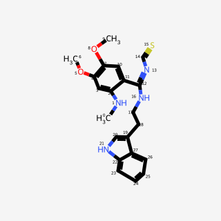 CNc1cc(OC)c(OC)cc1/C(=N\C=S)NCCc1c[nH]c2ccccc12